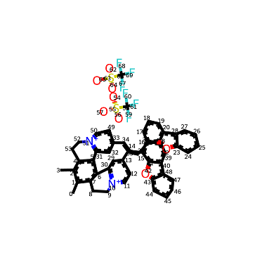 Cc1c(C)c2c(c3c1CC[n+]1ccc(/C=C/c4cccc5c4oc4ccccc45)cc1-3)-c1cc(/C=C/c3cccc4c3oc3ccccc34)cc[n+]1CC2.O=S(=O)([O-])C(F)(F)F.O=S(=O)([O-])C(F)(F)F